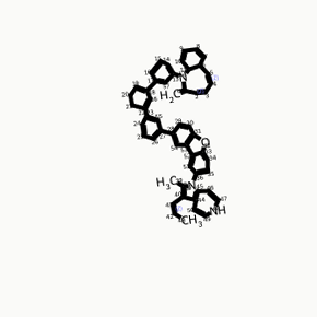 C=C1/C=C\C=C/C2C=CC=CC2N1c1cccc(C2=CCCC(c3cccc(-c4ccc5oc6ccc(-n7c(C)c(/C=C\C)c8c7C=CNC=C8)cc6c5c4)c3)=C2)c1